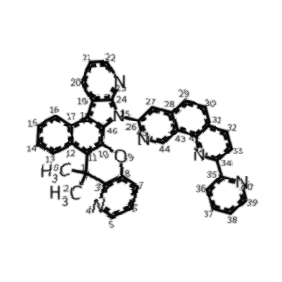 CC1(C)c2ncccc2Oc2c1c1ccccc1c1c3cccnc3n(-c3cc4ccc5ccc(-c6ccccn6)nc5c4cn3)c21